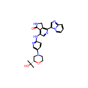 CC(C)(O)[C@@H]1CN(c2ccc(Nc3cnc(-c4cnc5ccccn45)c4c3C(=O)NC4)nc2)CCO1